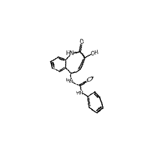 O=C(Nc1ccccc1)NC1C=C(O)C(=O)Nc2ccccc21